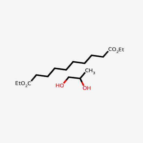 CC(O)CO.CCOC(=O)CCCCCCCCC(=O)OCC